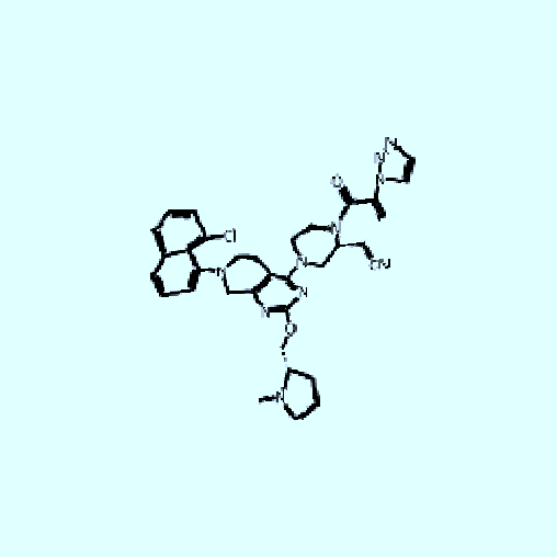 C=C(C(=O)N1CCN(c2nc(OC[C@@H]3CCCN3C)nc3c2CCN(c2cccc4cccc(Cl)c24)C3)C[C@@H]1CC#N)n1ccnn1